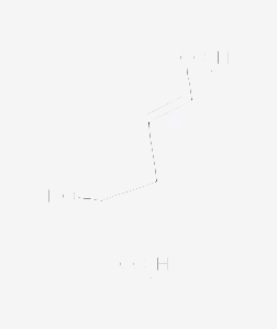 O=C(O)/C=C/C[C@@H](O)C(=O)O